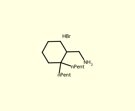 Br.CCCCCC1(CCCCC)CCCCC1CN